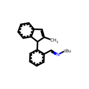 CC1=Cc2ccccc2C1c1ccccc1C=NC(C)(C)C